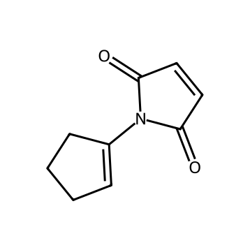 O=C1C=CC(=O)N1C1=CCCC1